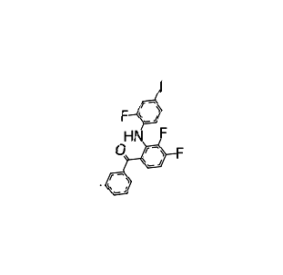 O=C(c1c[c]ccc1)c1ccc(F)c(F)c1Nc1ccc(I)cc1F